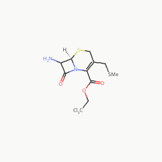 CSCC1=C(C(=O)OCC(Cl)(Cl)Cl)N2C(=O)C(N)[C@H]2SC1